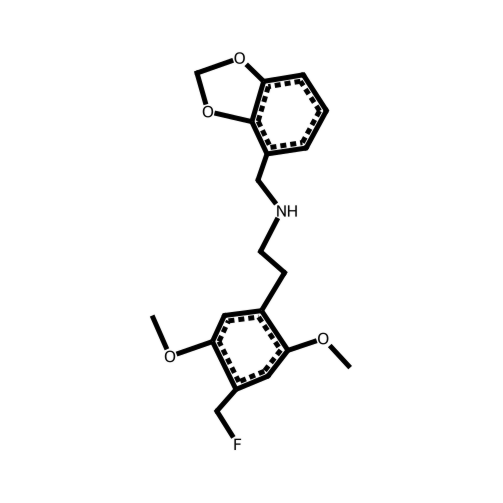 COc1cc(CCNCc2cccc3c2OCO3)c(OC)cc1CF